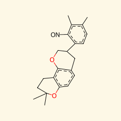 Cc1ccc(C2COc3c(ccc4c3CCC(C)(C)O4)C2)c(N=O)c1C